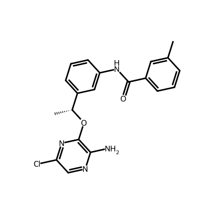 Cc1cccc(C(=O)Nc2cccc([C@@H](C)Oc3nc(Cl)cnc3N)c2)c1